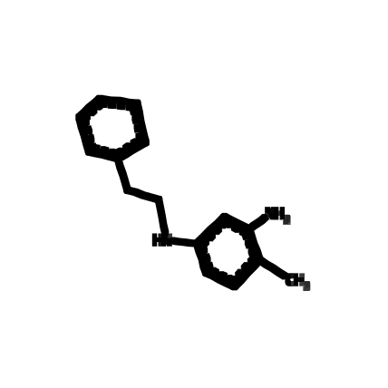 Cc1ccc(NCCc2ccccc2)cc1N